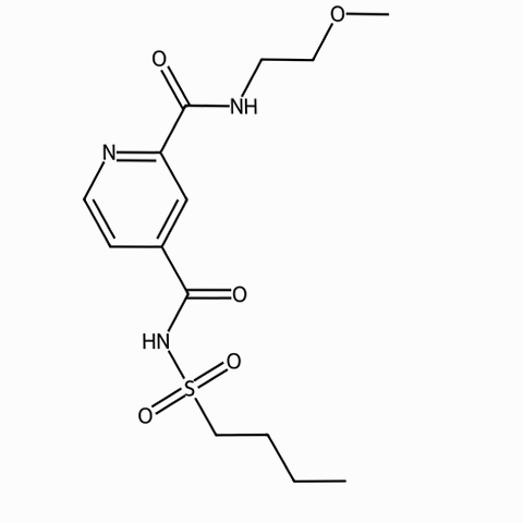 CCCCS(=O)(=O)NC(=O)c1ccnc(C(=O)NCCOC)c1